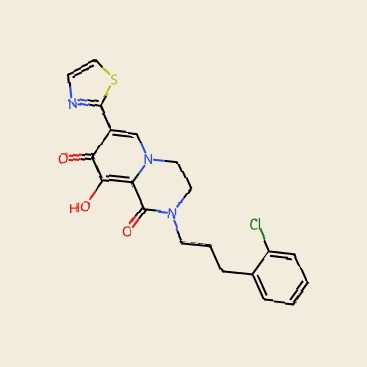 O=C1c2c(O)c(=O)c(-c3nccs3)cn2CCN1CCCc1ccccc1Cl